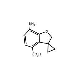 Nc1ccc(C(=O)O)c2c1OCC21CC1